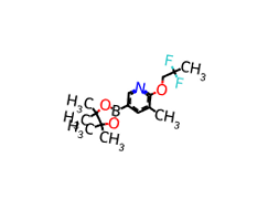 Cc1cc(B2OC(C)(C)C(C)(C)O2)cnc1OCC(C)(F)F